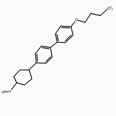 CCCCCC1CCC(c2ccc(-c3ccc(OCCCC(F)(F)F)cc3)cc2)CC1